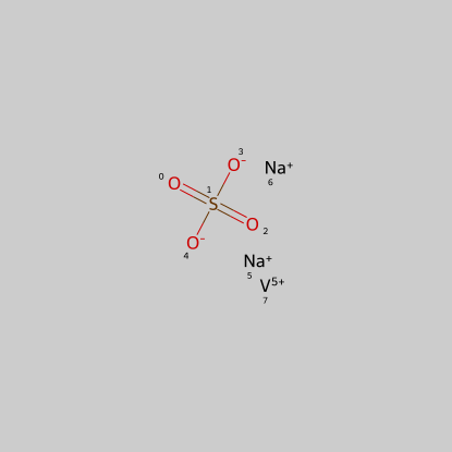 O=S(=O)([O-])[O-].[Na+].[Na+].[V+5]